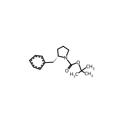 CC(C)(C)OC(=O)N1CCC[C@H]1Cc1ccccc1